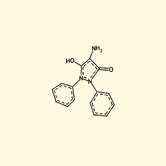 Nc1c(O)n(-c2ccccc2)n(-c2ccccc2)c1=O